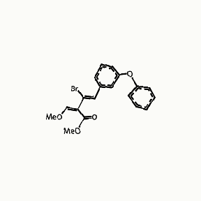 COC=C(C(=O)OC)C(Br)=Cc1cccc(Oc2ccccc2)c1